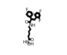 O=C(CCCCCNC(=O)/C(=C/c1c(F)cc(F)cc1F)c1ccc(F)cc1)NO